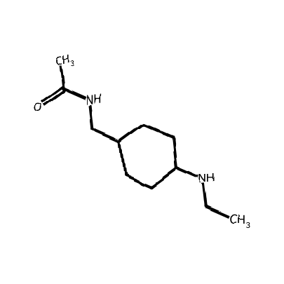 CCNC1CCC(CNC(C)=O)CC1